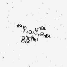 CCCCOCC(O[C@@H](SCC)[C@H](COCCCC)OCCCC)[C@@H](C)OOC(C)=O